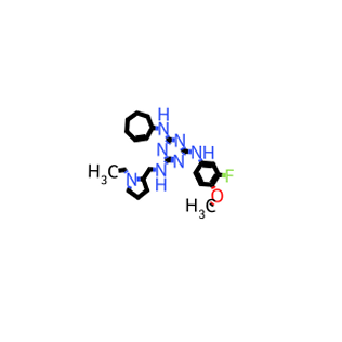 CCN1CCCC1CNc1nc(Nc2ccc(OC)c(F)c2)nc(NC2C=CCCCC2)n1